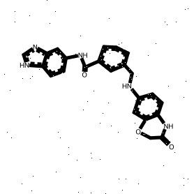 O=C1COc2cc(NCc3cccc(C(=O)Nc4ccc5[nH]cnc5c4)c3)ccc2N1